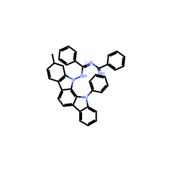 CC1C=Cc2c(n(N/C(=N\C(=N)c3ccccc3)c3ccccc3)c3c2ccc2c4ccccc4n(-c4ccccc4)c23)C1